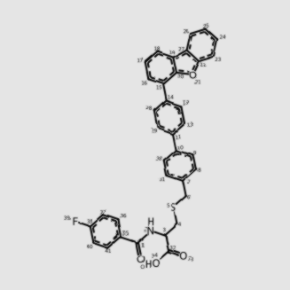 O=C(NC(CSCc1ccc(-c2ccc(-c3cccc4c3oc3ccccc34)cc2)cc1)C(=O)O)c1ccc(F)cc1